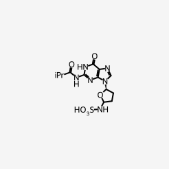 CC(C)C(=O)Nc1nc2c(ncn2[C@H]2CCC(NS(=O)(=O)O)O2)c(=O)[nH]1